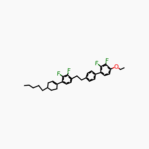 CCCCCC1CC=C(c2ccc(CCc3ccc(-c4ccc(OCC)c(F)c4F)cc3)c(F)c2F)CC1